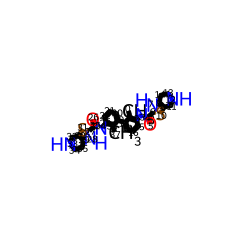 Cc1c(NC(=O)c2nc3c(s2)CNCC3)cccc1-c1cccc(NC(=O)c2nc3c(s2)CNCC3)c1C